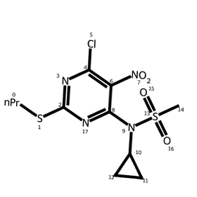 CCCSc1nc(Cl)c([N+](=O)[O-])c(N(C2CC2)S(C)(=O)=O)n1